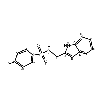 Cc1ccc(S(=O)(=O)NCc2cc3cccnc3[nH]2)cc1